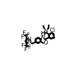 CCN(CC)C(=O)c1c(Cl)cccc1C(=O)Nc1ccc(Cn2nc(C(F)(F)F)cc2C(F)(F)F)cc1C